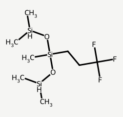 C[SiH](C)O[Si](C)(CCC(F)(F)F)O[SiH](C)C